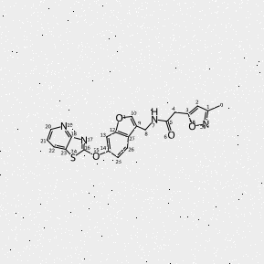 Cc1cc(CC(=O)NCc2coc3cc(Oc4nc5ncccc5s4)ccc23)on1